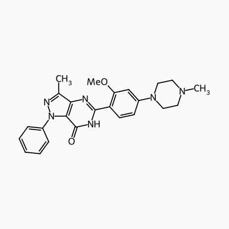 COc1cc(N2CCN(C)CC2)ccc1-c1nc2c(C)nn(-c3ccccc3)c2c(=O)[nH]1